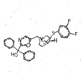 OC(c1ccccc1)(c1ccccc1)c1ncc(C[N+]23CCC(CC2)[C@@H](Sc2ccc(F)c(F)c2)C3)o1